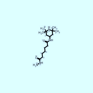 CC1(C)CC(NC(=O)CCCCCC(=O)NN)CC(C)(C)N1